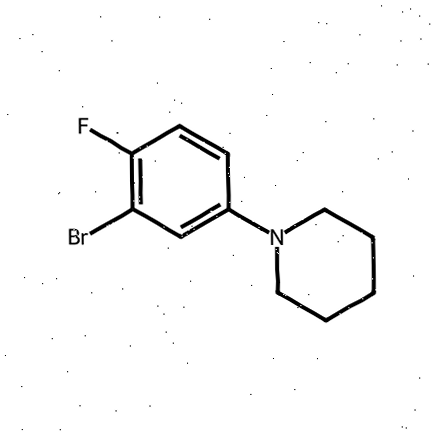 Fc1ccc(N2CCCCC2)cc1Br